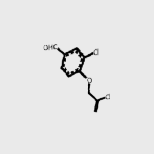 C=C(Cl)COc1ccc(C=O)cc1Cl